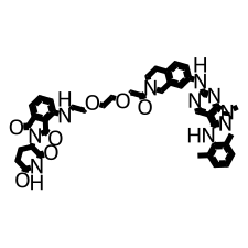 Cc1cccc(C)c1Nc1nn(C)c2nc(Nc3ccc4c(c3)CN(C(=O)COCCOCCNc3cccc5c3C(=O)N(C3CCC(=O)NC3=O)C5=O)CC4)ncc12